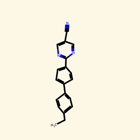 CCc1ccc(-c2ccc(-c3ncc(C#N)cn3)cc2)cc1